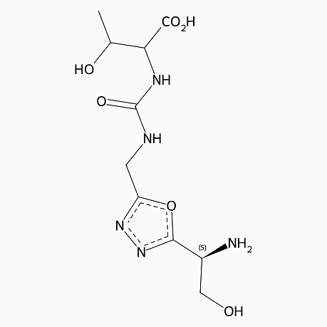 CC(O)C(NC(=O)NCc1nnc([C@@H](N)CO)o1)C(=O)O